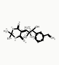 C=Cc1cccc([C@](C)(O)[C@](C)(O)C=C2C(=O)OC(C)(CC)OC2=O)c1